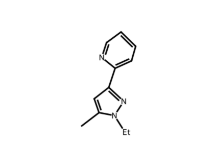 CCn1nc(-c2ccccn2)cc1C